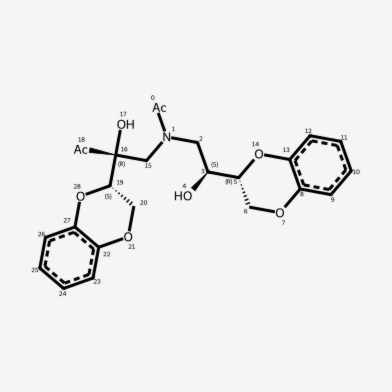 CC(=O)N(C[C@H](O)[C@H]1COc2ccccc2O1)C[C@](O)(C(C)=O)[C@@H]1COc2ccccc2O1